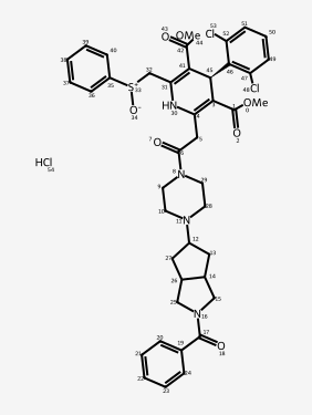 COC(=O)C1=C(CC(=O)N2CCN(C3CC4CN(C(=O)c5ccccc5)CC4C3)CC2)NC(C[S+]([O-])c2ccccc2)=C(C(=O)OC)[C@H]1c1c(Cl)cccc1Cl.Cl